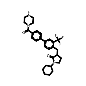 O=C(c1ccc(-c2ccc(CC3CCN(C4CCCCC4)C3=O)c(C(F)(F)F)c2)cc1)N1CCNCC1